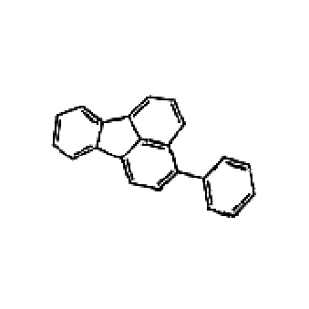 c1ccc(-c2ccc3c4c(cccc24)-c2ccccc2-3)cc1